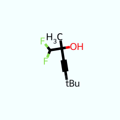 CC(C)(C)C#CC(C)(O)C(F)F